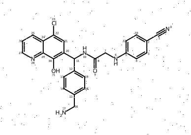 N#Cc1ccc(NCC(=O)NC(c2ccc(CN)cc2)c2cc(Cl)c3cccnc3c2O)cc1